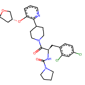 O=C(N[C@H](Cc1ccc(Cl)cc1Cl)C(=O)N1CCC(c2ncccc2O[C@@H]2CCOC2)CC1)N1CCCC1